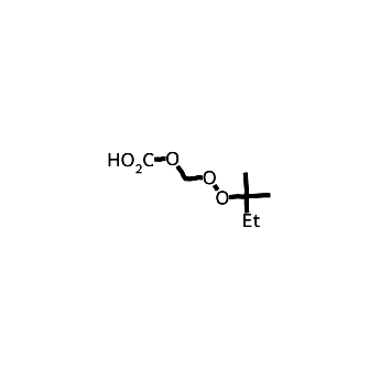 CCC(C)(C)OOCOC(=O)O